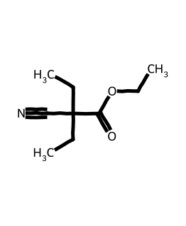 CCOC(=O)C(C#N)(CC)CC